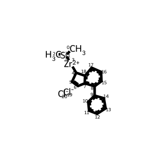 C[Si](C)[Zr+2][CH]1C=Cc2c(-c3ccccc3)cccc21.[Cl-].[Cl-]